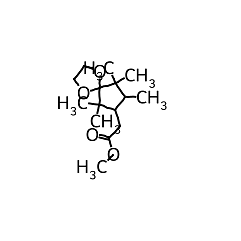 COC(=O)CC1C(C)C(C)(C)C2(OCCO2)C1(C)C